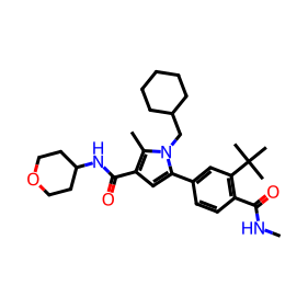 CNC(=O)c1ccc(-c2cc(C(=O)NC3CCOCC3)c(C)n2CC2CCCCC2)cc1C(C)(C)C